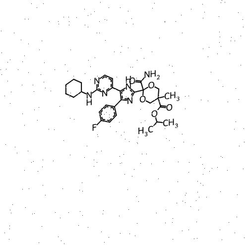 CC(C)OC(=O)C1(C)COC(C(N)=O)(c2nc(-c3ccc(F)cc3)c(-c3ccnc(NC4CCCCC4)n3)[nH]2)OC1